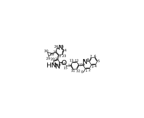 Cc1cc2ccccc2nc1-c1ccc(COc2n[nH]cc2-c2ccncc2C2CC2)cc1